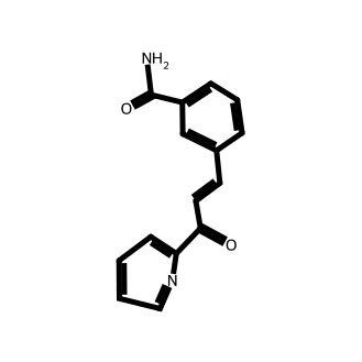 NC(=O)c1cccc(C=CC(=O)c2ccccn2)c1